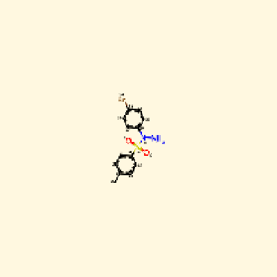 Cc1ccc(S(=O)(=O)N(N)c2ccc(Br)cc2)cc1